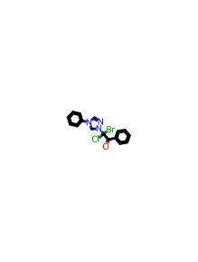 O=C(c1ccccc1)C(Cl)(Br)N1CN(c2ccccc2)C=N1